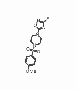 CCc1noc(N2CCN(S(=O)(=O)c3ccc(OC)cc3)CC2)n1